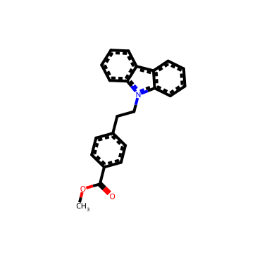 COC(=O)c1ccc(CCn2c3ccccc3c3ccccc32)cc1